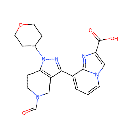 O=CN1CCc2c(c(-c3cccn4cc(C(=O)O)nc34)nn2C2CCOCC2)C1